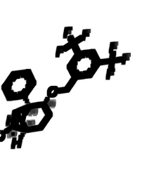 O[C@H]1C[C@]2(c3ccccc3)N[C@H]1CC[C@H]2OCc1cc(C(F)(F)F)cc(C(F)(F)F)c1